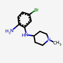 CN1CCC(Nc2cc(Br)ccc2N)CC1